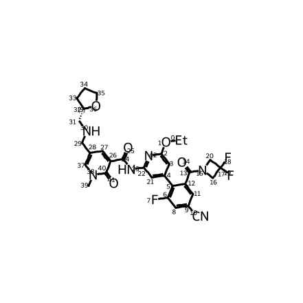 CCOc1cc(-c2c(F)cc(C#N)cc2C(=O)N2CC(F)(F)C2)cc(NC(=O)c2cc(CNC[C@@H]3CCCO3)cn(C)c2=O)n1